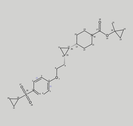 C=C(/C=C\C(=C/C)OCC[C@@H]1C[C@@H]1C1CCN(C(=O)OC2(C)CC2)CC1)S(=O)(=O)C1CC1